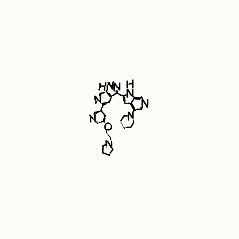 c1ncc(-c2cc3c(-c4cc5c(N6CCCCC6)cncc5[nH]4)n[nH]c3cn2)cc1OCCN1CCCC1